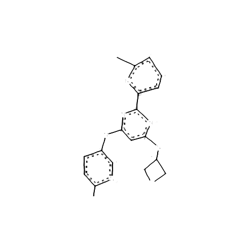 Cc1ccc(Nc2cc(NC3COC3)nc(-c3cccc(C)n3)n2)cn1